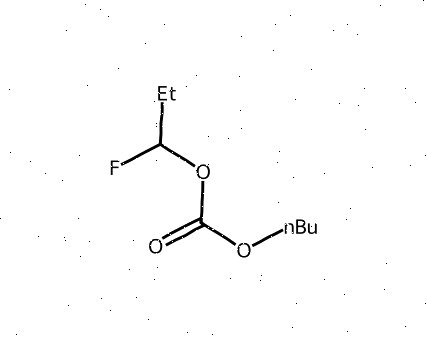 CCCCOC(=O)OC(F)CC